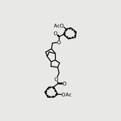 CC(=O)Oc1ccccc1C(=O)OCC1CC2C3CC(COC(=O)c4ccccc4OC(C)=O)C(C3)C2C1